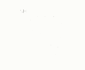 SCc1cc2c3c(c1)C1=CC=CCC14C=CC=CC4=C3CC2